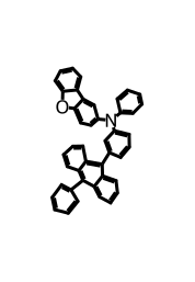 c1ccc(-c2c3ccccc3c(-c3cccc(N(c4ccccc4)c4ccc5oc6ccccc6c5c4)c3)c3ccccc23)cc1